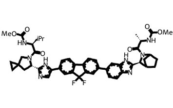 COC(=O)N[C@@H](C)C(=O)N1C2CCC(C2)[C@H]1c1nc2ccc(-c3ccc4c(c3)C(F)(F)c3cc(-c5cnc([C@@H]6CC7(CC7)CN6C(=O)[C@@H](NC(=O)OC)C(C)C)[nH]5)ccc3-4)cc2[nH]1